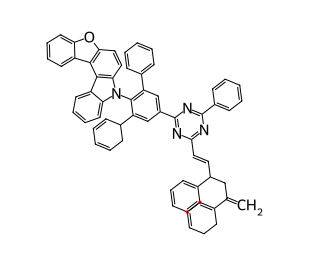 C=C(CC(/C=C/c1nc(-c2ccccc2)nc(-c2cc(-c3ccccc3)c(-n3c4ccccc4c4c5c(ccc43)oc3ccccc35)c(C3C=CC=CC3)c2)n1)c1ccccc1)C1=CC=CCC1